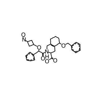 O=NC1CC(OC(C(=O)N2CC3=C(CC2C(=O)O)C(OCc2ccccc2)CCC3)c2ccccc2)C1